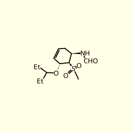 CCC(CC)O[C@@H]1C=CC[C@@H](NC=O)[C@H]1S(C)(=O)=O